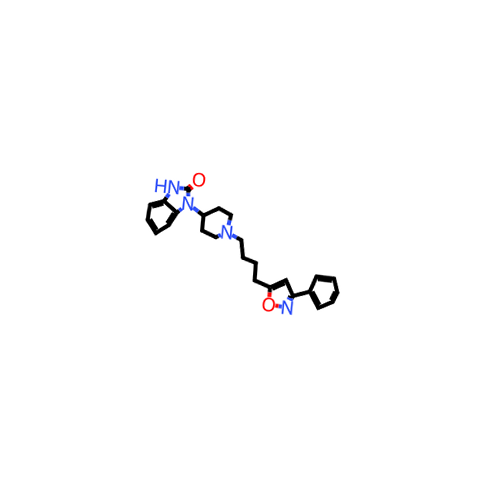 O=c1[nH]c2ccccc2n1C1CCN(CCCCc2cc(-c3ccccc3)no2)CC1